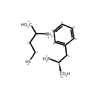 NC(CCS)C(=O)O.N[C@@H](Cc1ccccc1)C(=O)O